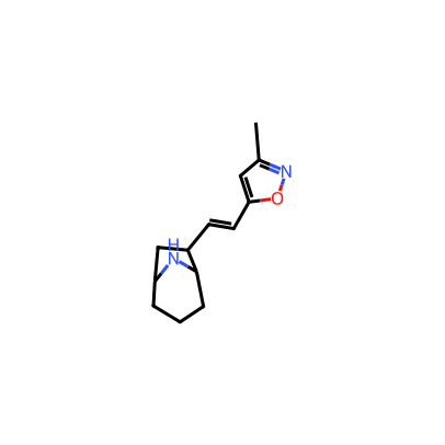 Cc1cc(C=CC2CC3CCCC2N3)on1